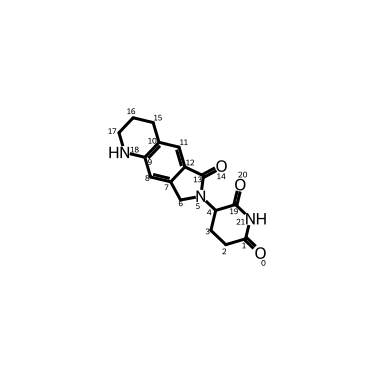 O=C1CCC(N2Cc3cc4c(cc3C2=O)CCCN4)C(=O)N1